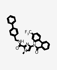 Cn1cc(NC(=O)c2ccccc2-c2ccc(C(F)(F)F)cc2)nc1C(=O)NCc1ccc(-c2ccccc2)cc1